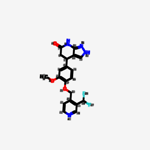 COc1cc(C2CC(=O)Nc3n[nH]cc32)ccc1OCc1ccncc1C(F)F